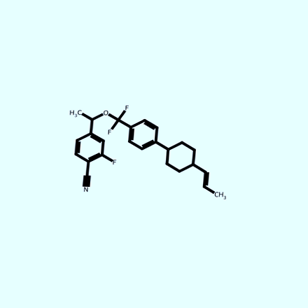 C/C=C/C1CCC(c2ccc(C(F)(F)OC(C)c3ccc(C#N)c(F)c3)cc2)CC1